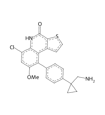 COc1cc(Cl)c2[nH]c(=O)c3sccc3c2c1-c1ccc(C2(CN)CC2)cc1